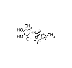 Cc1nn(C)cc1S(=O)(=O)NC[C@H]1OC(C)[C@@H](O)C(O)C1O